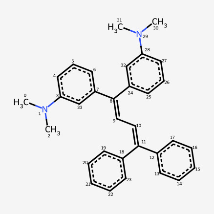 CN(C)c1cccc(C(=CC=C(c2ccccc2)c2ccccc2)c2cccc(N(C)C)c2)c1